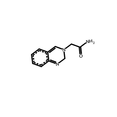 NC(=O)CN1C=c2ccccc2=NC1